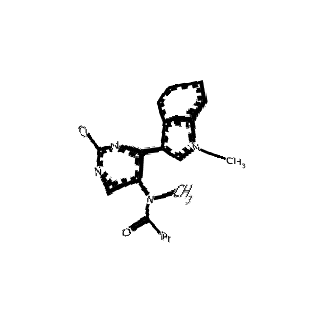 CC(C)C(=O)N(C)c1cnc(Cl)nc1-c1cn(C)c2ccccc12